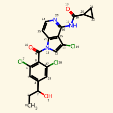 CCC(O)c1cc(Cl)c(C(=O)n2cc(Cl)c3c(NC(=O)C4CC4)nccc32)c(Cl)c1